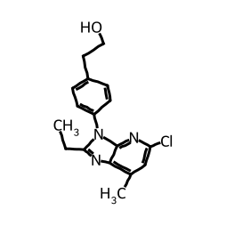 CCc1nc2c(C)cc(Cl)nc2n1-c1ccc(CCO)cc1